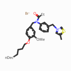 CCCCCCCCCCCCCCOc1ccc(CN(C(=O)CC)c2cccc(C[n+]3csc(C)c3)c2)cc1OC.[Br-]